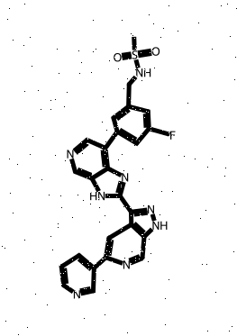 CS(=O)(=O)NCc1cc(F)cc(-c2cncc3[nH]c(-c4n[nH]c5cnc(-c6cccnc6)cc45)nc23)c1